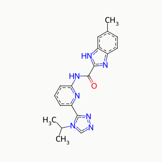 Cc1ccc2nc(C(=O)Nc3cccc(-c4nncn4C(C)C)n3)[nH]c2c1